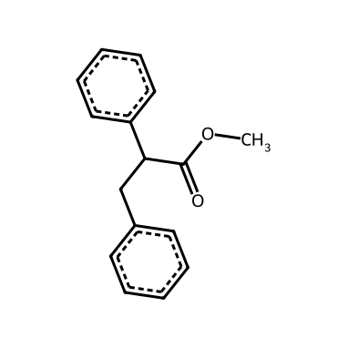 COC(=O)C(Cc1ccccc1)c1ccccc1